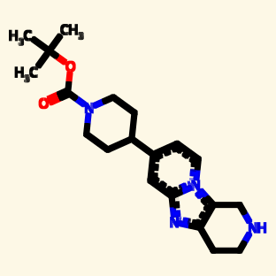 CC(C)(C)OC(=O)N1CCC(c2ccn3c4c(nc3c2)CCNC4)CC1